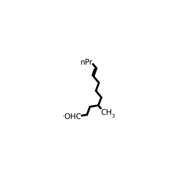 CCCC=CCCCC(C)CC[C]=O